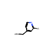 [C-]#[N+]c1cc(CC(C)(C)C)ccn1